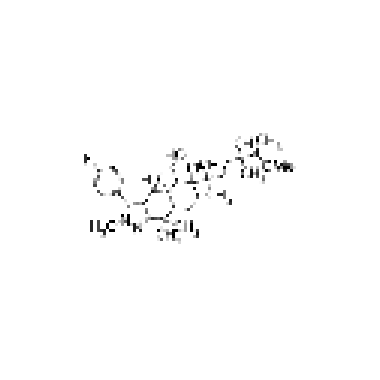 COC(C)C(C)(C)CCC(C)(C)C1(C)CCC2C(C)(C)C3=NN(C)C(c4ccc(F)cc4)C3CC2(C)C1CO